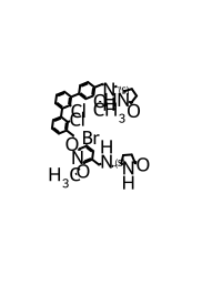 COc1cc(-c2cccc(-c3cccc(COc4nc(OC)c(CNC[C@@H]5CCC(=O)N5)cc4Br)c3Cl)c2Cl)ccc1CNC[C@@H]1CCC(=O)N1